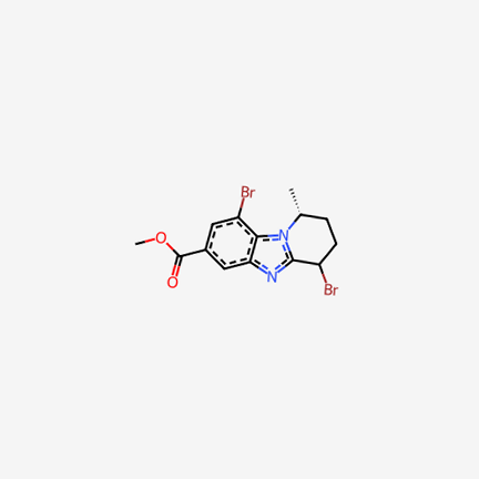 COC(=O)c1cc(Br)c2c(c1)nc1n2[C@H](C)CCC1Br